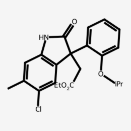 CCOC(=O)CC1(c2ccccc2OC(C)C)C(=O)Nc2cc(C)c(Cl)cc21